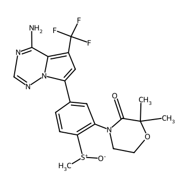 C[S+]([O-])c1ccc(-c2cc(C(F)(F)F)c3c(N)ncnn23)cc1N1CCOC(C)(C)C1=O